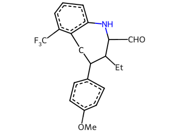 CCC1C(C=O)Nc2cccc(C(F)(F)F)c2CC1c1ccc(OC)cc1